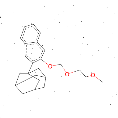 COCCOCOc1cc2cc[c]cc2cc1C12CC3CC(CC(C3)C1)C2